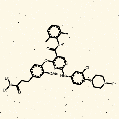 CCN(CC)C(=O)CCc1ccc(Oc2nc(Nc3ccc(N4CCN(C(C)C)CC4)c(Cl)c3)ncc2C(=O)Nc2c(C)cccc2C)c(OC)c1